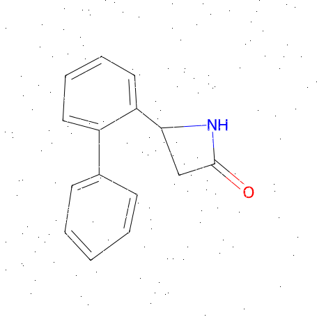 O=C1CC(c2ccccc2-c2ccccc2)N1